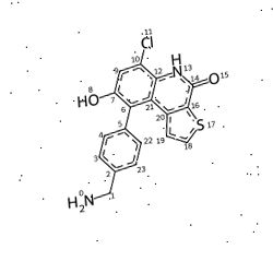 NCc1ccc(-c2c(O)cc(Cl)c3[nH]c(=O)c4sccc4c23)cc1